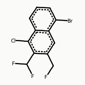 FCc1cc2c(Br)cccc2c(Cl)c1C(F)F